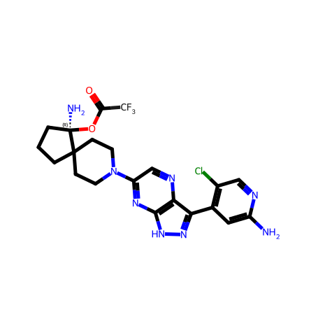 Nc1cc(-c2n[nH]c3nc(N4CCC5(CCC[C@@]5(N)OC(=O)C(F)(F)F)CC4)cnc23)c(Cl)cn1